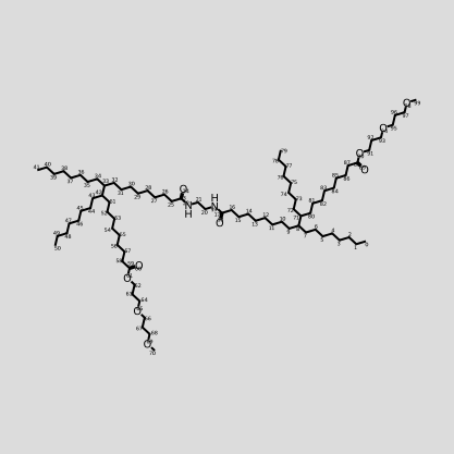 CCCCCCCCC(CCCCCCCCC(=O)NCCNC(=O)CCCCCCCCC(CCCCCCCC)C(CCCCCCCC)CCCCCCCCC(=O)OCCCOCCCOC)C(CCCCCCCC)CCCCCCCCC(=O)OCCCOCCCOC